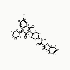 O=C(NC1CCC(n2c(=O)c3cc(F)cnc3n(C3CCSCC3)c2=O)CC1)c1cc2ccccc2[nH]1